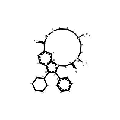 CN1CCCSNC(=O)c2ccc3c(C4CCCCC4)c(-c4ccccc4)n(c3c2)CC(=O)N(C)CC1